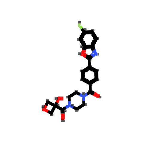 O=C(c1ccc(-c2nc3ccc(F)cc3o2)cc1)N1CCN(C(=O)C2(O)COC2)CC1